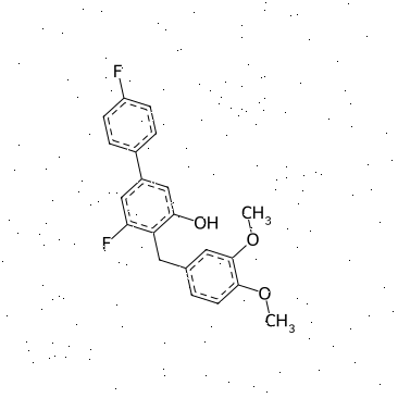 COc1ccc(Cc2c(O)cc(-c3ccc(F)cc3)cc2F)cc1OC